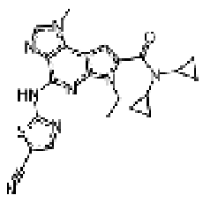 CCn1c(C(=O)N(C2CC2)C2CC2)cc2c3c(ncn3C)c(Nc3ncc(C#N)s3)nc21